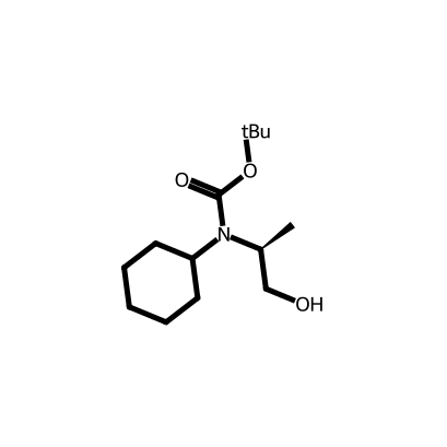 C[C@@H](CO)N(C(=O)OC(C)(C)C)C1CCCCC1